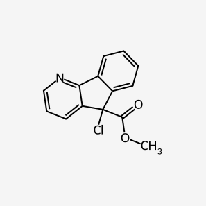 COC(=O)C1(Cl)c2ccccc2-c2ncccc21